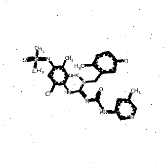 Cc1cncc(NC(=O)/N=C(/Nc2cc(C)c(N=S(C)(C)=O)cc2Cl)N(C=O)Cc2cc(Cl)ccc2C)c1